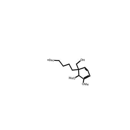 CCCCCCCCCCCCCCC1(CO)C=CC=C(OC)C1OC